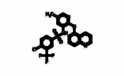 Cc1cnc(Oc2cccc3ncccc23)c(NS(=O)(=O)c2ccc(Cl)c(C(F)(F)F)c2)c1